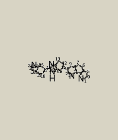 c1cnc2c(c1)ccc1cc(-c3ccc4nc(-c5ccc6scnc6c5)[nH]c4c3)cnc12